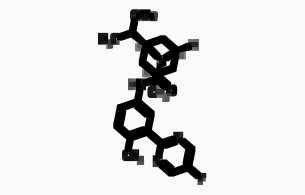 COC(C)[C@@]12C[C@@H](C)C[C@@H](C1)N2C(=O)Nc1ccc(C)c(-c2ncc(F)cn2)c1